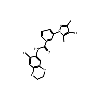 Cc1nn(-c2cccc(C(=O)Nc3cc4c(cc3Cl)OCCO4)c2)c(C)c1Cl